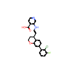 O=C(O)c1ccncc1N/C=C/C1CCOc2cc(-c3cccc(F)c3Cl)ccc21